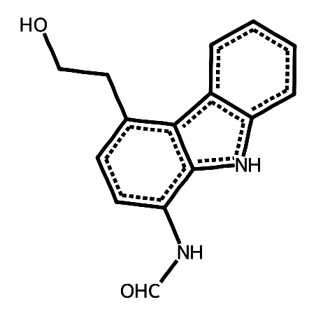 O=CNc1ccc(CCO)c2c1[nH]c1ccccc12